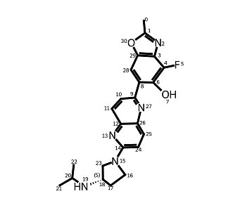 Cc1nc2c(F)c(O)c(-c3ccc4nc(N5CC[C@H](NC(C)C)C5)ccc4n3)cc2o1